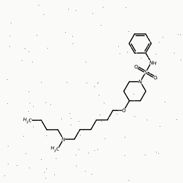 CCCCN(C)CCCCCCOC1CCN(S(=O)(=O)Nc2ccccc2)CC1